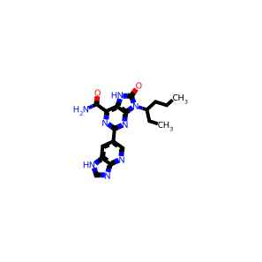 CCCC(CC)n1c(=O)[nH]c2c(C(N)=O)nc(-c3cnc4nc[nH]c4c3)nc21